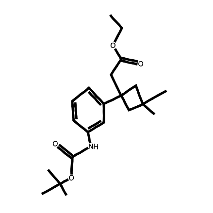 CCOC(=O)CC1(c2cccc(NC(=O)OC(C)(C)C)c2)CC(C)(C)C1